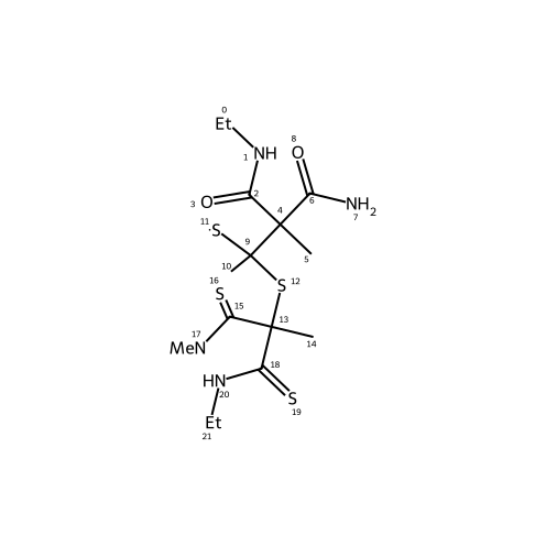 CCNC(=O)C(C)(C(N)=O)C(C)([S])SC(C)(C(=S)NC)C(=S)NCC